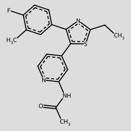 CCc1nc(-c2ccc(F)c(C)c2)c(-c2ccnc(NC(C)=O)c2)s1